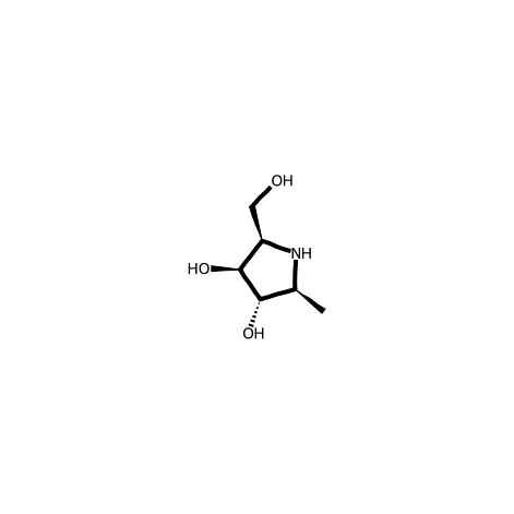 C[C@@H]1N[C@H](CO)[C@H](O)[C@H]1O